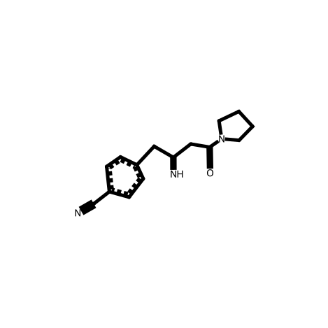 N#Cc1ccc(CC(=N)CC(=O)N2CCCC2)cc1